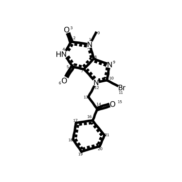 Cn1c(=O)[nH]c(=O)c2c1nc(Br)n2CC(=O)c1ccccc1